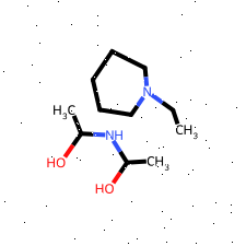 CC(O)NC(C)O.CCN1CCCCC1